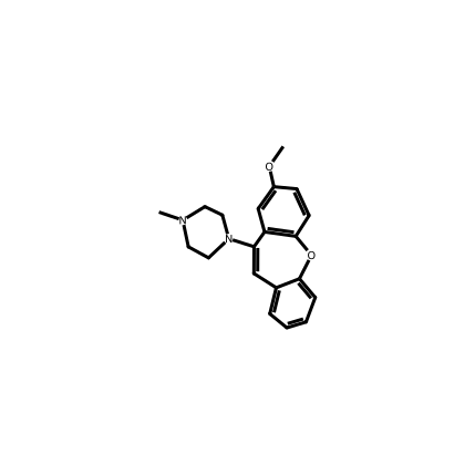 COc1ccc2c(c1)C(N1CCN(C)CC1)=Cc1ccccc1O2